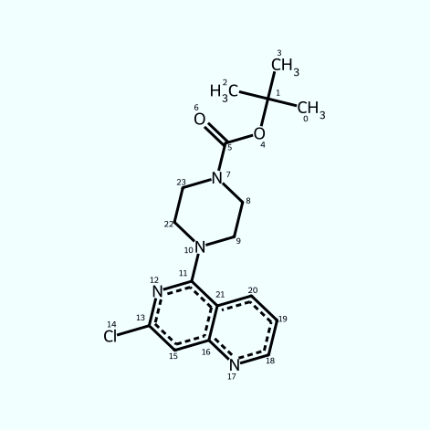 CC(C)(C)OC(=O)N1CCN(c2nc(Cl)cc3ncccc23)CC1